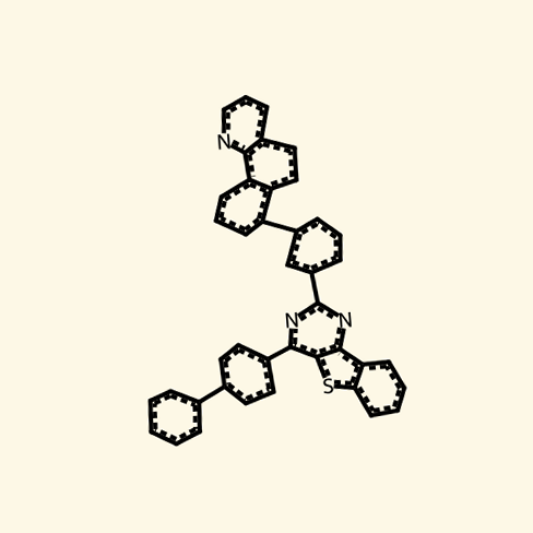 c1ccc(-c2ccc(-c3nc(-c4cccc(-c5cccc6c5ccc5cccnc56)c4)nc4c3sc3ccccc34)cc2)cc1